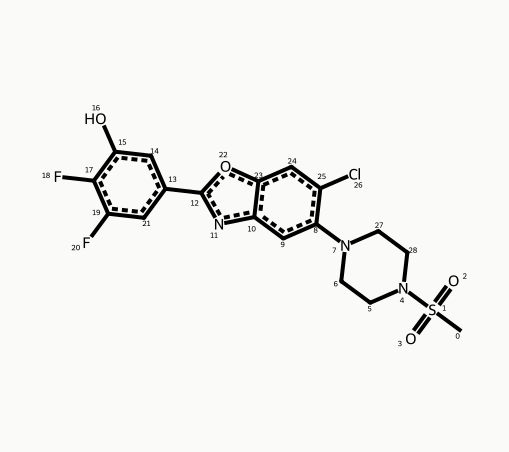 CS(=O)(=O)N1CCN(c2cc3nc(-c4cc(O)c(F)c(F)c4)oc3cc2Cl)CC1